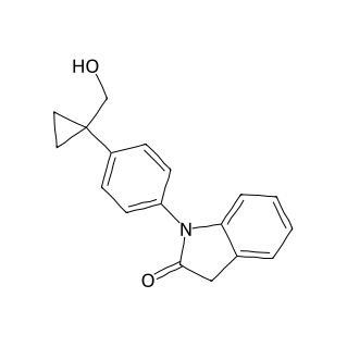 O=C1Cc2ccccc2N1c1ccc(C2(CO)CC2)cc1